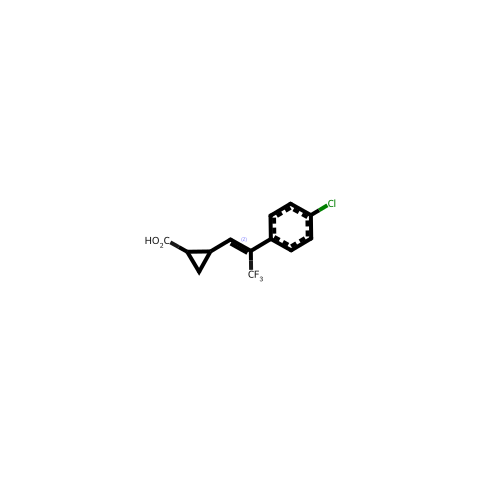 O=C(O)C1CC1/C=C(/c1ccc(Cl)cc1)C(F)(F)F